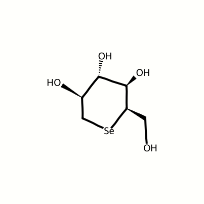 OC[C@H]1[Se]C[C@@H](O)[C@H](O)[C@H]1O